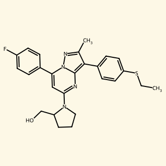 CCSc1ccc(-c2c(C)nn3c(-c4ccc(F)cc4)cc(N4CCCC4CO)nc23)cc1